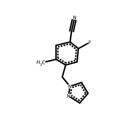 Cc1cc(C#N)c(F)cc1Cn1cccn1